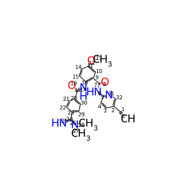 C#Cc1ccc(NC(=O)c2cc(OC)ccc2NC(=O)c2ccc(C(=N)N(C)C)cc2)nc1